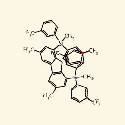 Cc1cc2c(c([Si](C)(c3cccc(C(F)(F)F)c3)c3cccc(C(F)(F)F)c3)c1)Cc1c-2cc(C)cc1[Si](C)(c1cccc(C(F)(F)F)c1)c1cccc(C(F)(F)F)c1